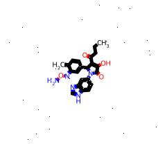 C=C1C=CC(C2C(C(=O)CCC)=C(O)C(=O)N2c2ccc3[nH]cnc3c2)=C/C1=N/ON